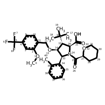 COc1cc(C(F)(F)F)ccc1CO[C@H]1[C@H](C(C)(C)C)[C@@H](C(=O)O)N(C(=O)[C@@H]2CCCCO2)[C@H]1c1ccccc1C